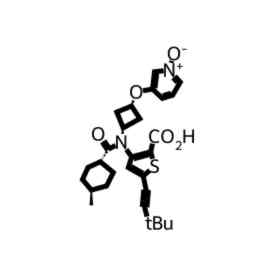 CC(C)(C)C#Cc1cc(N(C(=O)[C@H]2CC[C@H](C)CC2)[C@H]2C[C@@H](Oc3ccc[n+]([O-])c3)C2)c(C(=O)O)s1